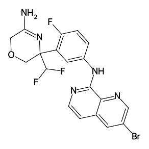 NC1=NC(c2cc(Nc3nccc4cc(Br)cnc34)ccc2F)(C(F)F)COC1